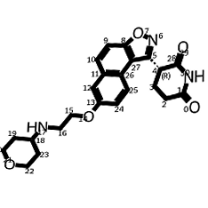 O=C1CC[C@H](c2noc3ccc4cc(OCCNC5CCOCC5)ccc4c23)C(=O)N1